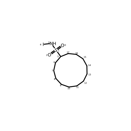 O=S(=O)(NI)C1CCCCCCCCCCCC1